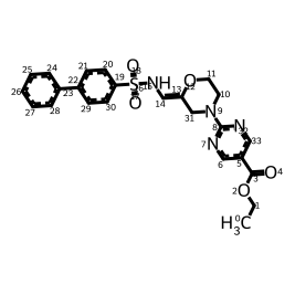 CCOC(=O)c1cnc(N2CCO/C(=C\NS(=O)(=O)c3ccc(-c4ccccc4)cc3)C2)nc1